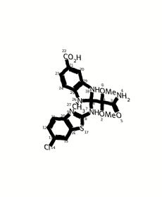 COC(OC)(C(N)=O)C1(Nc2nc3ccc(Cl)cc3s2)Nc2cc(C(=O)O)ccc2N1C